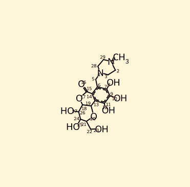 CN1CCN(Cc2c(O)c(O)c(O)c3c2C(=O)OC2C3OC(CO)C(O)C2O)CC1